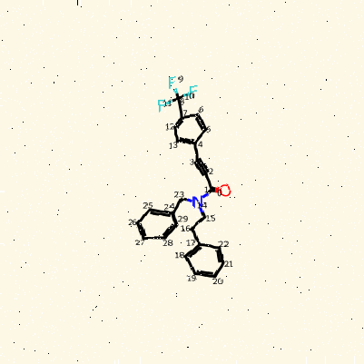 O=C(C#Cc1ccc(C(F)(F)F)cc1)N(CCc1ccccc1)Cc1ccccc1